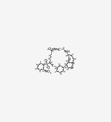 O=C1CCN(S(=O)(=O)c2ccccc2[N+](=O)[O-])Cc2cccc(c2)-c2cnn3ccc(nc23)NCCN1